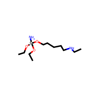 CCNCCCCCO[Si](N)(OCC)OCC